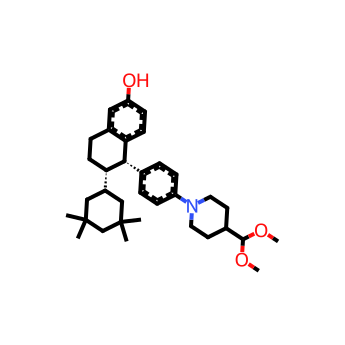 COC(OC)C1CCN(c2ccc([C@H]3c4ccc(O)cc4CC[C@H]3C3CC(C)(C)CC(C)(C)C3)cc2)CC1